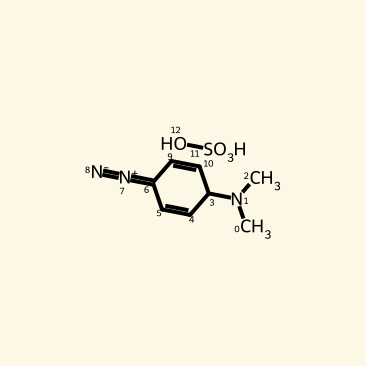 CN(C)C1C=CC(=[N+]=[N-])C=C1.O=S(=O)(O)O